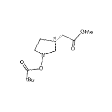 COC(=O)C[C@H]1CCN(OC(=O)C(C)(C)C)C1